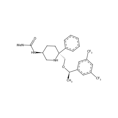 CNC(=O)N[C@H]1CC[C@@](CO[C@H](C)c2cc(C(F)(F)F)cc(C(F)(F)F)c2)(c2ccccc2)NC1